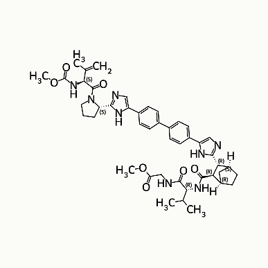 C=C(C)[C@H](NC(=O)OC)C(=O)N1CCC[C@H]1c1ncc(-c2ccc(-c3ccc(-c4cnc([C@@H]5[C@H]6CC[C@H](C6)[C@H]5C(=O)N[C@@H](C(=O)NCC(=O)OC)C(C)C)[nH]4)cc3)cc2)[nH]1